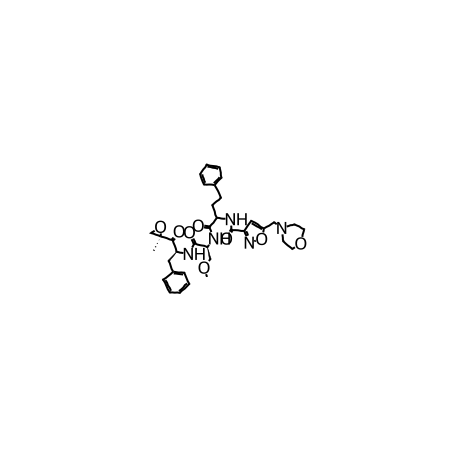 COC[C@H](NC(=O)C(CCc1ccccc1)NC(=O)c1cc(CN2CCOCC2)on1)C(=O)N[C@@H](Cc1ccccc1)C(=O)[C@@]1(C)CO1